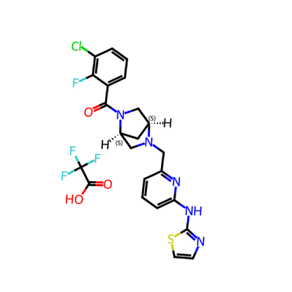 O=C(O)C(F)(F)F.O=C(c1cccc(Cl)c1F)N1C[C@@H]2C[C@H]1CN2Cc1cccc(Nc2nccs2)n1